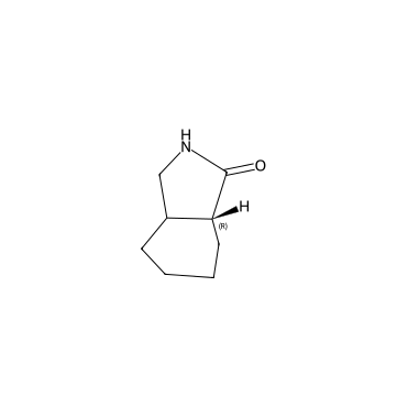 O=C1NCC2CCCC[C@@H]12